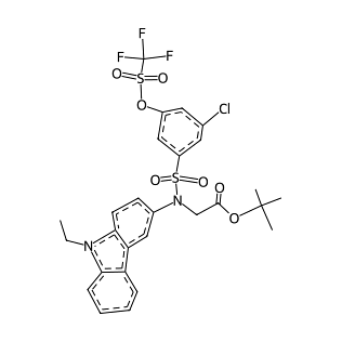 CCn1c2ccccc2c2cc(N(CC(=O)OC(C)(C)C)S(=O)(=O)c3cc(Cl)cc(OS(=O)(=O)C(F)(F)F)c3)ccc21